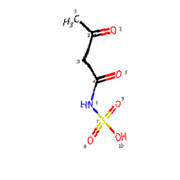 CC(=O)CC(=O)NS(=O)(=O)O